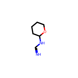 N=CNC1CCCCO1